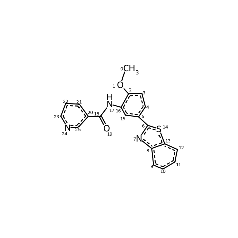 COc1ccc(-c2nc3ccccc3s2)cc1NC(=O)c1cccnc1